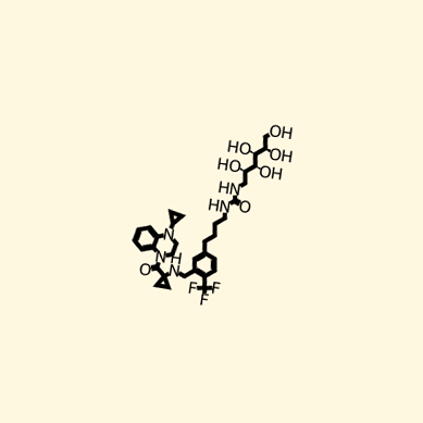 O=C(NCCCCc1ccc(C(F)(F)F)c(CNC2(C(=O)N3CCN(C4CC4)c4ccccc43)CC2)c1)NC[C@H](O)[C@@H](O)[C@H](O)[C@H](O)CO